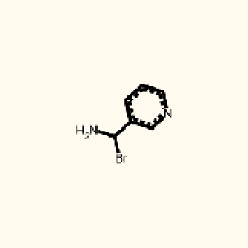 NC(Br)c1cccnc1